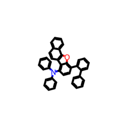 c1ccc(-c2ccccc2-c2ccc(N(c3ccccc3)c3ccccc3)c3c2oc2c4ccccc4ccc23)cc1